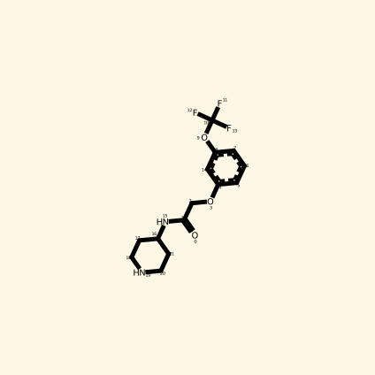 O=C(COc1cccc(OC(F)(F)F)c1)NC1CCNCC1